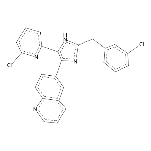 Clc1cccc(Cc2nc(-c3ccc4ncccc4c3)c(-c3cccc(Cl)n3)[nH]2)c1